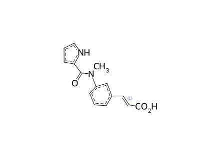 CN(C(=O)c1ccc[nH]1)c1cccc(/C=C/C(=O)O)c1